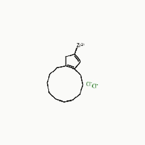 [Cl-].[Cl-].[Zr+2][C]1=CC2=C(CCCCCCCCCC2)C1